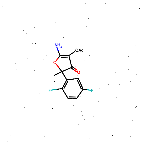 CC(=O)OC1=C(N)OC(C)(c2cc(F)ccc2F)C1=O